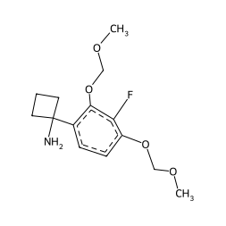 COCOc1ccc(C2(N)CCC2)c(OCOC)c1F